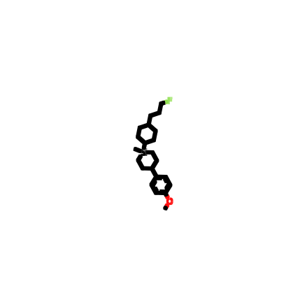 COc1ccc(C2CC[Si](C)(C3CCC(CCCF)CC3)CC2)cc1